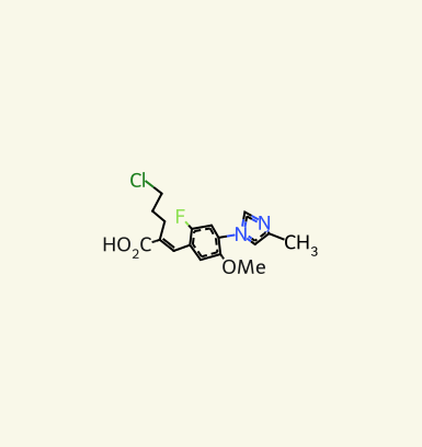 COc1cc(C=C(CCCCl)C(=O)O)c(F)cc1-n1cnc(C)c1